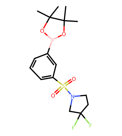 CC1(C)OB(c2cccc(S(=O)(=O)N3CCC(F)(F)C3)c2)OC1(C)C